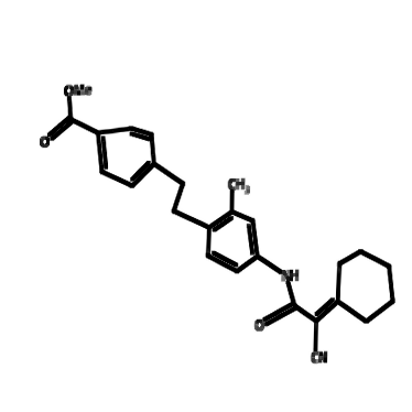 COC(=O)c1ccc(CCc2ccc(NC(=O)C(C#N)=C3CCCCC3)cc2C)cc1